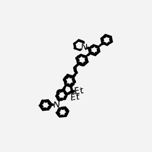 CCC1(CC)c2cc(/C=C/c3ccc(-c4ccc(-c5ccccc5)cc4N4CCCCC4)cc3)ccc2-c2ccc(N(c3ccccc3)c3ccccc3)cc21